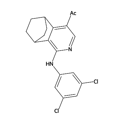 CC(=O)c1cnc(Nc2cc(Cl)cc(Cl)c2)c2c1C1CCC2CC1